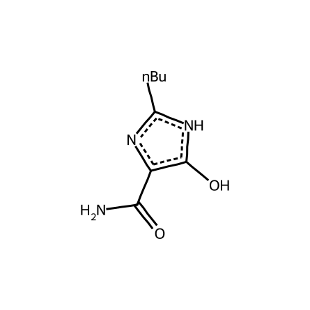 CCCCc1nc(C(N)=O)c(O)[nH]1